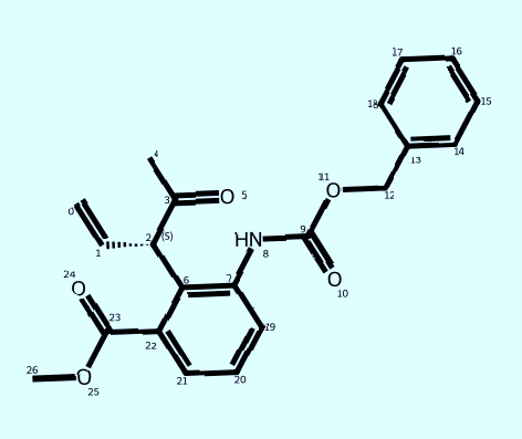 C=C[C@H](C(C)=O)c1c(NC(=O)OCc2ccccc2)cccc1C(=O)OC